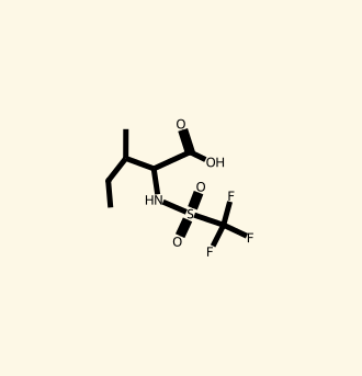 CCC(C)C(NS(=O)(=O)C(F)(F)F)C(=O)O